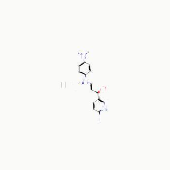 CN(C)c1ccc(N(/C=C/C(=O)c2ccc(I)nc2)C(=O)O)cc1